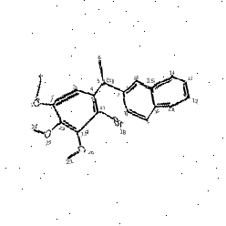 COc1cc([C@@H](C)c2ccc3ccccc3c2)c(Br)c(OC)c1OC